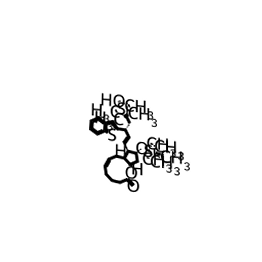 CC(C)(C[C@H](/C=C/[C@@H]1[C@H]2C/C=C\CCCC(=O)O[C@H]2C[C@H]1O[Si](C)(C)C(C)(C)C)c1cc2ccccc2s1)[Si](C)(C)O